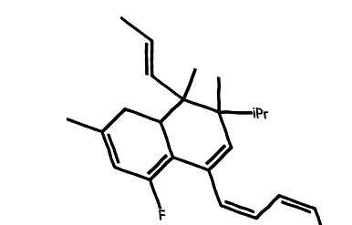 CC=CC1(C)C2CC(C)=CC(F)=C2C(/C=C\C=C/C)=CC1(C)C(C)C